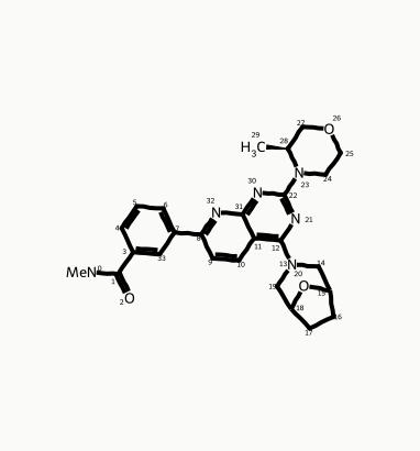 CNC(=O)c1cccc(-c2ccc3c(N4CC5CCC(C4)O5)nc(N4CCOC[C@@H]4C)nc3n2)c1